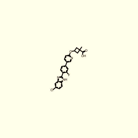 CC1(C(=O)O)CC(Oc2ccc(-c3ccc(-c4nc5cc(Cl)ccc5[nH]4)c(F)c3)cn2)C1